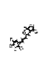 O=C(CCCn1cc(F)c(=O)[nH]c1=O)OC1C(=O)CCC1=O